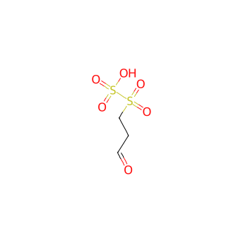 O=CCCS(=O)(=O)S(=O)(=O)O